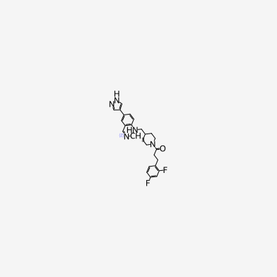 C/N=C\c1cc(-c2cn[nH]c2)ccc1NCC1CCN(C(=O)CCc2ccc(F)cc2F)CC1